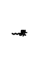 CCCCCOB(O)C(C)(C)C(C)C